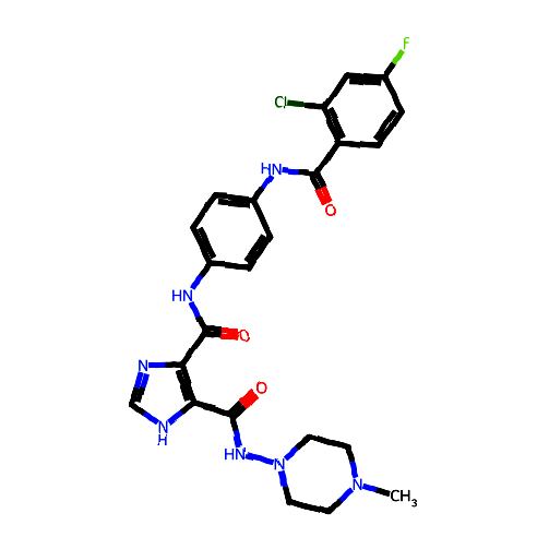 CN1CCN(NC(=O)c2[nH]cnc2C(=O)Nc2ccc(NC(=O)c3ccc(F)cc3Cl)cc2)CC1